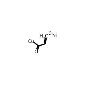 C=C[C](=O)[Cu].[C].[Ni]